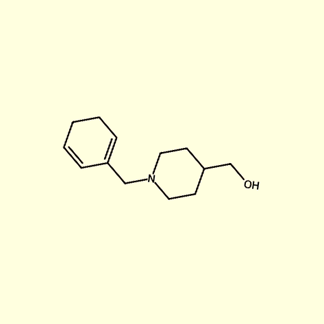 OCC1CCN(CC2=CCCC=C2)CC1